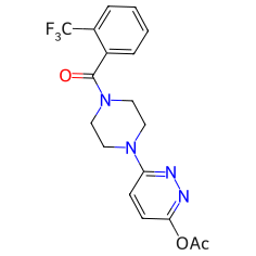 CC(=O)Oc1ccc(N2CCN(C(=O)c3ccccc3C(F)(F)F)CC2)nn1